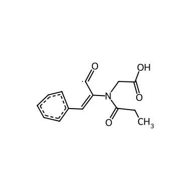 CCC(=O)N(CC(=O)O)C([C]=O)=Cc1ccccc1